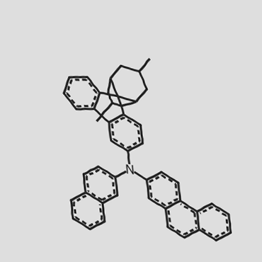 CC1CC2CC(C)CC(C1)C21c2ccccc2-c2cc(N(c3ccc4ccccc4c3)c3ccc4c(ccc5ccccc54)c3)ccc21